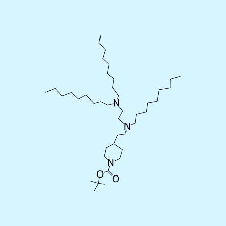 CCCCCCCCCN(CCCCCCCCC)CCN(CCCCCCCCC)CCC1CCN(C(=O)OC(C)(C)C)CC1